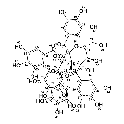 O=C(OC1(C(=O)c2cc(O)c(O)c(O)c2)O[C@H](CO)[C@@H](O)[C@@](O)(C(=O)c2cc(O)c(O)c(O)c2)[C@]1(OC(=O)c1cc(O)c(O)c(O)c1)C(=O)c1cc(O)c(O)c(O)c1)c1cc(O)c(O)c(O)c1